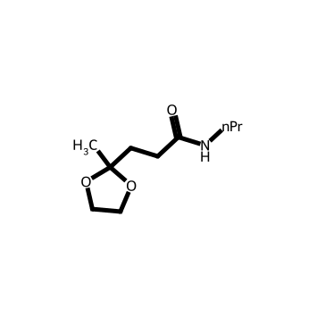 CCCNC(=O)CCC1(C)OCCO1